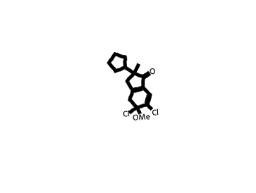 COC1(Cl)CC2=C(C=C1Cl)C(=O)C(C)(C1CCCC1)C2